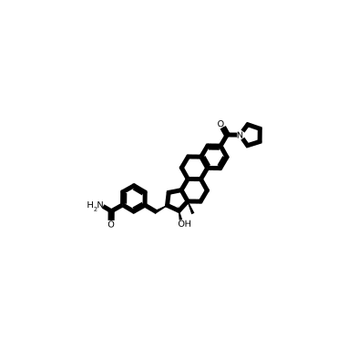 C[C@]12CCC3c4ccc(C(=O)N5CCCC5)cc4CCC3C1C[C@H](Cc1cccc(C(N)=O)c1)[C@@H]2O